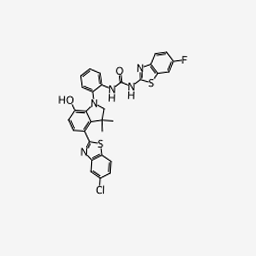 CC1(C)CN(c2ccccc2NC(=O)Nc2nc3ccc(F)cc3s2)c2c(O)ccc(-c3nc4cc(Cl)ccc4s3)c21